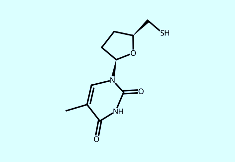 Cc1cn([C@H]2CC[C@@H](CS)O2)c(=O)[nH]c1=O